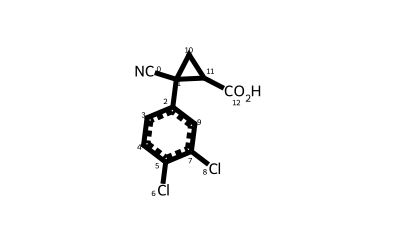 N#CC1(c2ccc(Cl)c(Cl)c2)CC1C(=O)O